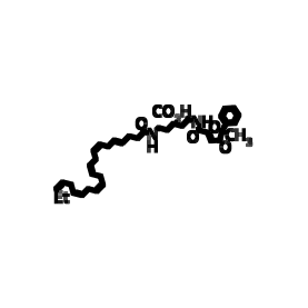 CC/C=C\C/C=C\C/C=C\C/C=C\C/C=C\CC=CCCC(=O)NCCCCC(NC(=O)C1=CC(=O)C(C)(c2ccccc2)O1)C(=O)O